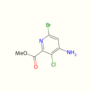 COC(=O)c1nc(Br)cc(N)c1Cl